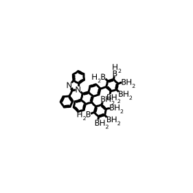 Bc1c(B)c(B)c(-c2ccc3c(-n4c(-c5ccccc5)nc5ccccc54)c4ccccc4c(-c4c(B)c(B)c(B)c(B)c4B)c3c2)c(B)c1B